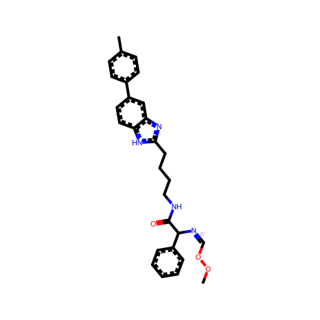 COO/C=N\C(C(=O)NCCCCc1nc2cc(-c3ccc(C)cc3)ccc2[nH]1)c1ccccc1